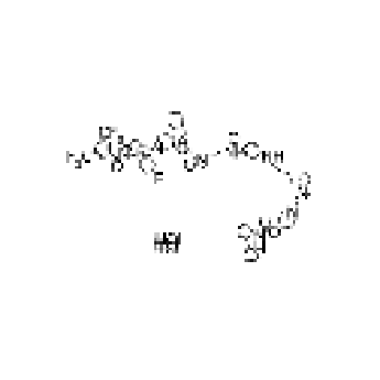 CN(CCN1CCC(OC(=O)Nc2ccccc2-c2ccccc2)CC1)C(=O)CCCCCNc1ccc(C(=O)NCCCN(C)C(=O)CO[C@H]2Cc3ccccc3C23CCN(CC[C@@]2(c4ccc(F)cc4)CN(C(=O)c4cc(C(F)(F)F)cc(C(F)(F)F)c4)CO2)CC3)cc1.Cl.Cl.Cl